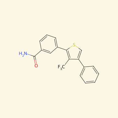 NC(=O)c1cccc(-c2scc(-c3ccccc3)c2C(F)(F)F)c1